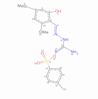 COc1cc(O)c(C=NNC(N)=NOS(=O)(=O)c2ccc(C)cc2)c(OC)c1